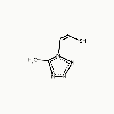 Cc1nnnn1/C=C\S